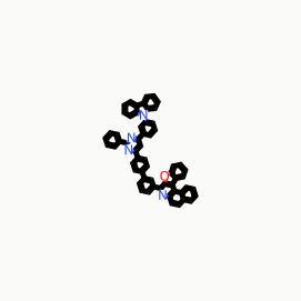 c1ccc(-c2nc(-c3ccc(-c4cccc(-c5nc6ccc7ccccc7c6c6c5oc5ccccc56)c4)cc3)cc(-c3cccc(-n4c5ccccc5c5ccccc54)c3)n2)cc1